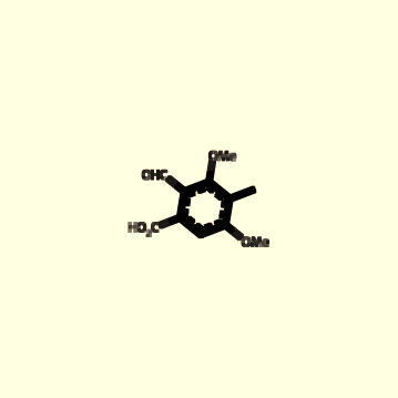 COc1cc(C(=O)O)c(C=O)c(OC)c1C